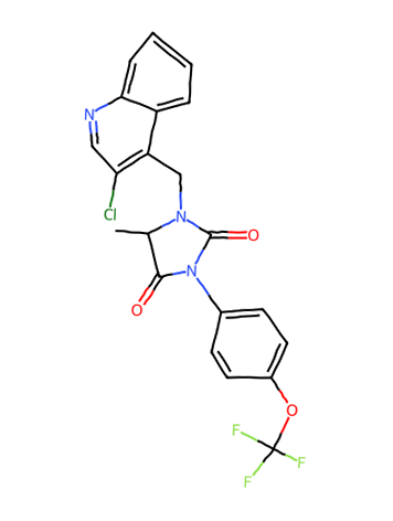 CC1C(=O)N(c2ccc(OC(F)(F)F)cc2)C(=O)N1Cc1c(Cl)cnc2ccccc12